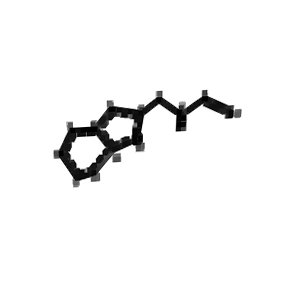 S=[C]NCc1cc2ccccc2o1